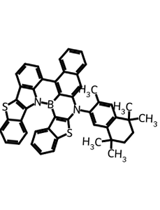 Cc1cc2c(cc1N1c3cc4ccccc4c4c3B(c3c1sc1ccccc31)n1c3c-4cccc3c3sc4ccccc4c31)C(C)(C)CCC2(C)C